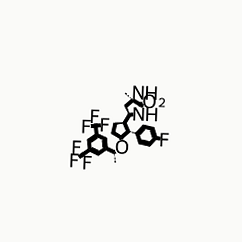 C[C@@H](OC1CC[C@@H]([C@H]2C[C@@](C)(N)C(=O)N2)[C@@H]1c1ccc(F)cc1)c1cc(C(F)(F)F)cc(C(F)(F)F)c1